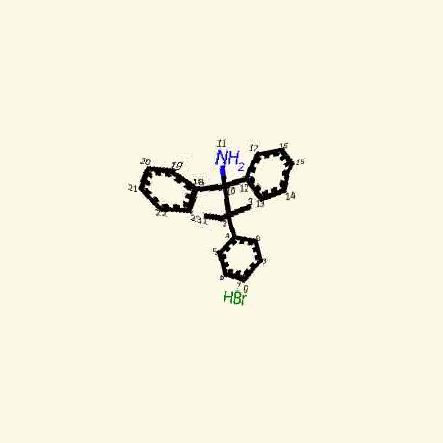 Br.CC(C)(c1ccccc1)C(N)(c1ccccc1)c1ccccc1